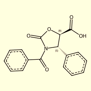 O=C(O)[C@@H]1OC(=O)N(C(=O)c2ccccc2)[C@H]1c1ccccc1